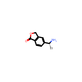 CC[C@@H](N)c1ccc2c(c1)COC2=O